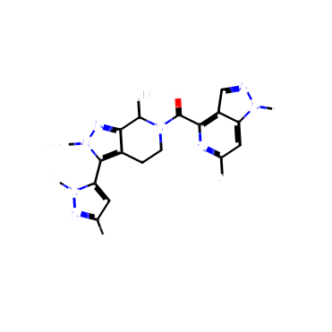 Cc1cc2c(cnn2C)c(C(=O)N2CCc3c(nn(C)c3-c3cc(C(F)(F)F)nn3C)C2C)n1